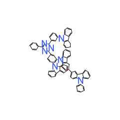 C1=Cc2c(c3ccccc3n2-c2cccc(-c3nc(-c4ccccc4)nc(-c4ccc(-n5c6ccccc6c6ccccc65)c(-n5c6c(c7ccccc75)CC(c5ccc7c(c5)c5ccccc5n7-c5ccccc5)C=C6)c4)n3)c2)CC1